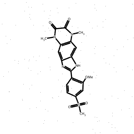 COc1cc(S(C)(=O)=O)ccc1-c1nc2cc3c(cc2[nH]1)n(C)c(=O)c(=O)n3C